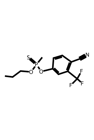 CCCOP(C)(=S)Oc1ccc(C#N)c(C(F)(F)F)c1